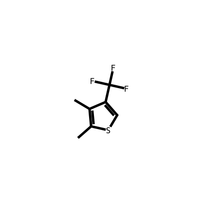 Cc1scc(C(F)(F)F)c1C